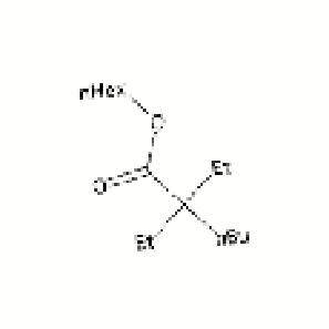 CCCCCCOC(=O)C(CC)(CC)CCCC